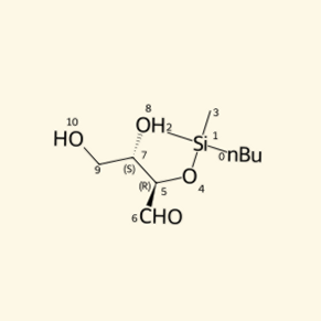 CCCC[Si](C)(C)O[C@@H](C=O)[C@@H](O)CO